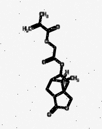 C=C(C)C(=O)OCC(=O)OC1CC23COC(=O)C2CC1[C@@H]3C